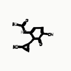 CCC(=O)NC1=CC=C(C#N)C(=O)C1C1CC1C#N